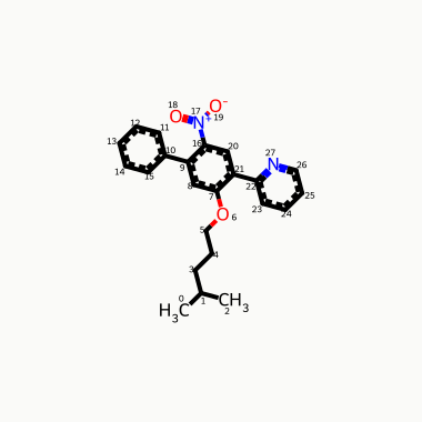 CC(C)CCCOc1cc(-c2ccccc2)c([N+](=O)[O-])cc1-c1ccccn1